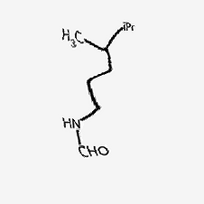 CC(C)C(C)CCCNC=O